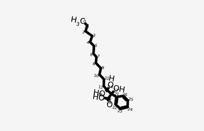 CCCCCCCCCCCCCC(O)(O)C(O)(C(=O)O)c1ccccc1